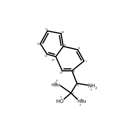 CCCCC(O)(CCCC)C(N)c1ccc2ccccc2c1